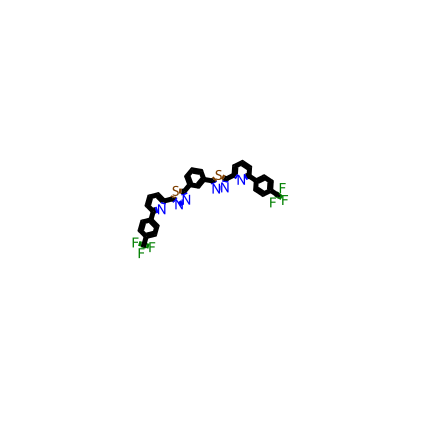 FC(F)(F)c1ccc(-c2cccc(-c3nnc(-c4cccc(-c5nnc(-c6cccc(-c7ccc(C(F)(F)F)cc7)n6)s5)c4)s3)n2)cc1